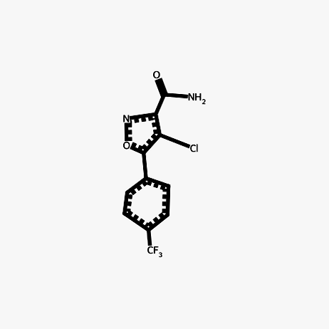 NC(=O)c1noc(-c2ccc(C(F)(F)F)cc2)c1Cl